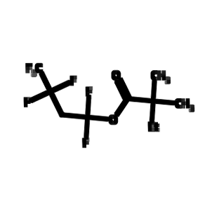 CCC(C)(C)C(=O)OC(F)(F)CC(F)(F)C(F)(F)F